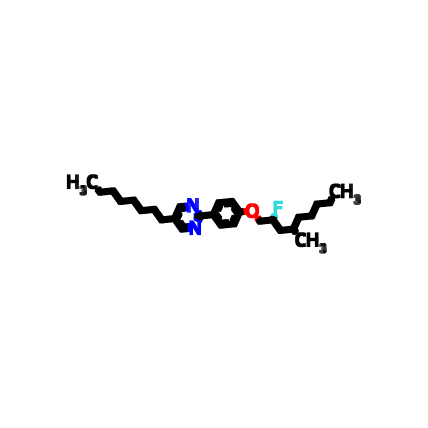 CCCCCCCCc1cnc(-c2ccc(OCC(F)CC(C)CCCCC)cc2)nc1